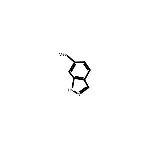 [CH2]Sc1ccc2cn[nH]c2c1